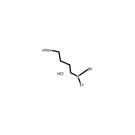 CCCCCCCCCCN(CC)C(C)C.Cl